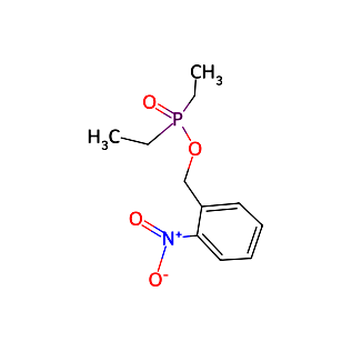 CCP(=O)(CC)OCc1ccccc1[N+](=O)[O-]